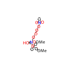 COc1ccc(C(OCC2C[C@@H](O)CN2C(=O)CCOCCOCCOCCOCCN2C(=O)c3ccccc3C2=O)(c2ccccc2)c2ccc(OC)cc2)cc1